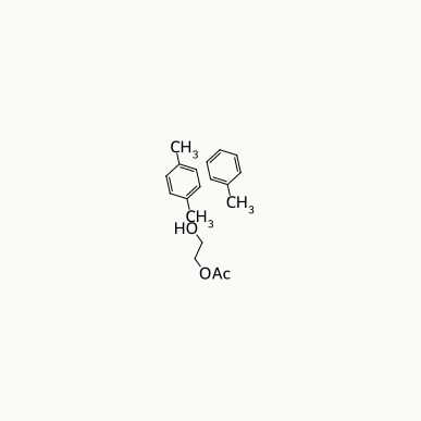 CC(=O)OCCO.Cc1ccc(C)cc1.Cc1ccccc1